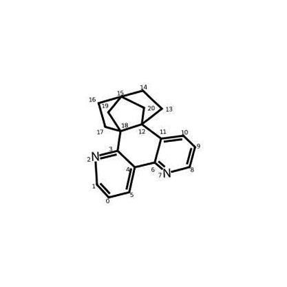 c1cnc2c(c1)-c1ncccc1C13CCC4(CCC21C4)C3